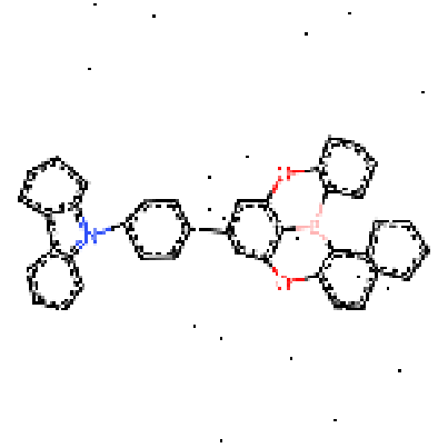 c1ccc2c(c1)Oc1cc(-c3ccc(-n4c5ccccc5c5ccccc54)cc3)cc3c1B2c1c(ccc2ccccc12)O3